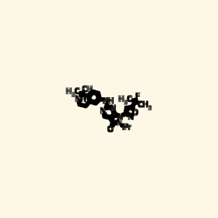 CC(C)n1c(=O)c2cnc(Nc3ccc4c(c3)CCNC4(C)C)nc2n1-c1cc(C(C)(C)F)on1